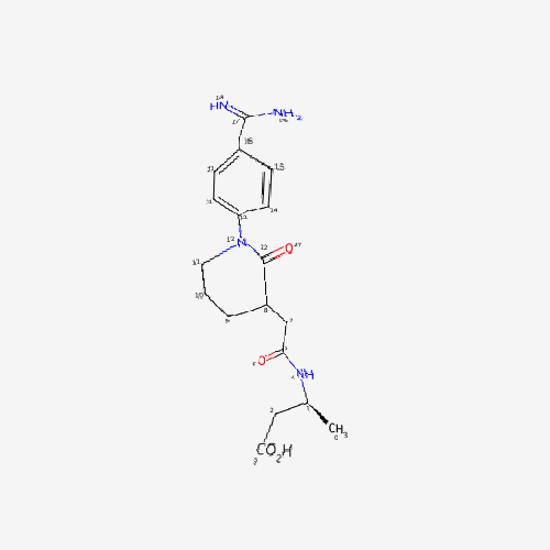 C[C@@H](CC(=O)O)NC(=O)CC1CCCN(c2ccc(C(=N)N)cc2)C1=O